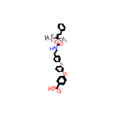 CC(C)(CCc1ccccc1)OC(=O)NCCc1ccc(Sc2cccc(Oc3ccc(C(=O)O)cc3)c2)cc1